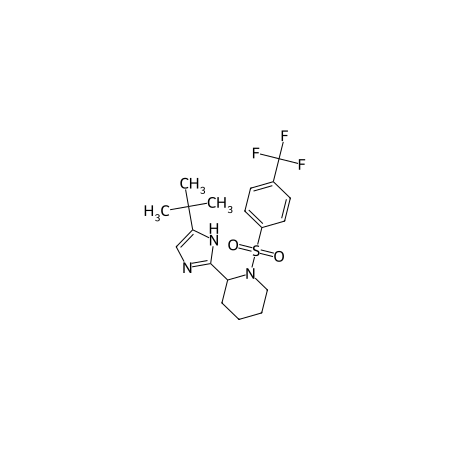 CC(C)(C)c1cnc(C2CCCCN2S(=O)(=O)c2ccc(C(F)(F)F)cc2)[nH]1